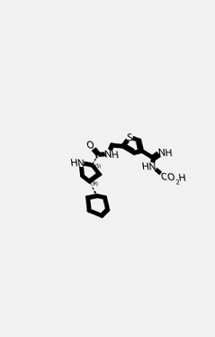 N=C(NC(=O)O)c1csc(CNC(=O)[C@@H]2C[C@H](C3CCCCC3)CN2)c1